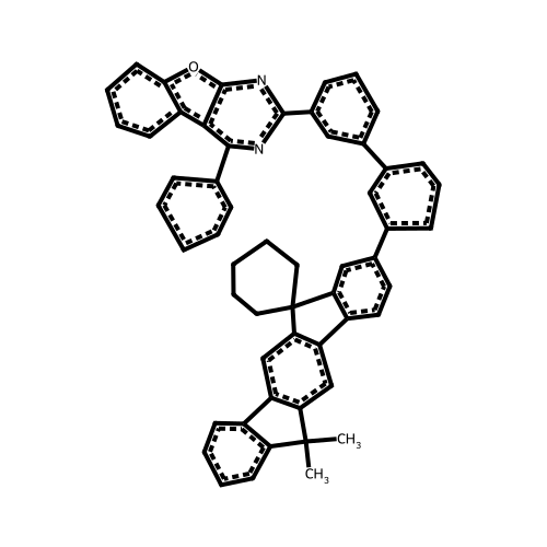 CC1(C)c2ccccc2-c2cc3c(cc21)-c1ccc(-c2cccc(-c4cccc(-c5nc(-c6ccccc6)c6c(n5)oc5ccccc56)c4)c2)cc1C31CCCCC1